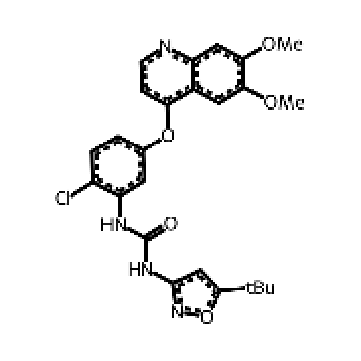 COc1cc2nccc(Oc3ccc(Cl)c(NC(=O)Nc4cc(C(C)(C)C)on4)c3)c2cc1OC